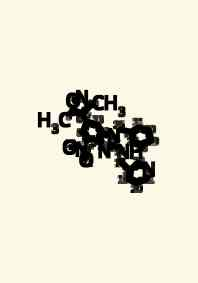 Cc1noc(C)c1-c1cc([N+](=O)[O-])c2nc(NCc3cccnc3)n(Cc3ccccc3)c2c1